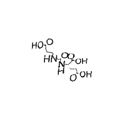 O=C(O)CCNC(=O)N[C@@H](CCC(=O)O)C(=O)O